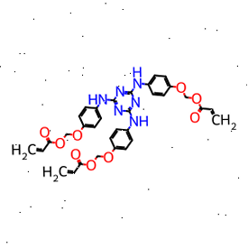 C=CC(=O)OCOc1ccc(Nc2nc(Nc3ccc(OCOC(=O)C=C)cc3)nc(Nc3ccc(OCOC(=O)C=C)cc3)n2)cc1